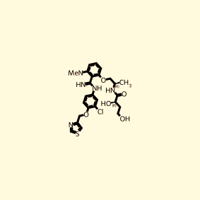 CNc1cccc(OC[C@@H](C)NC(=O)[C@H](O)CCO)c1C(=N)Nc1ccc(OCc2cscn2)c(Cl)c1